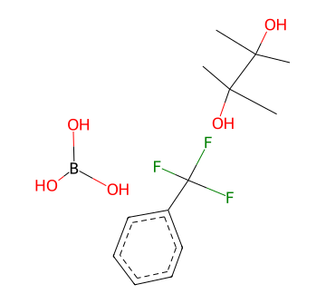 CC(C)(O)C(C)(C)O.FC(F)(F)c1ccccc1.OB(O)O